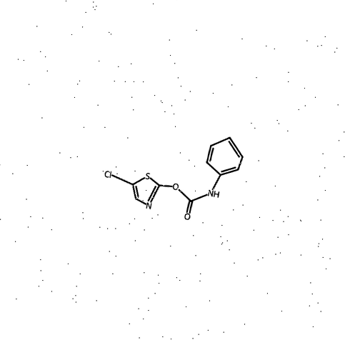 O=C(Nc1ccccc1)Oc1ncc(Cl)s1